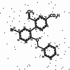 C=Cc1nc(C(=O)O)cnc1-c1cc(Br)ccc1OCc1ccccc1